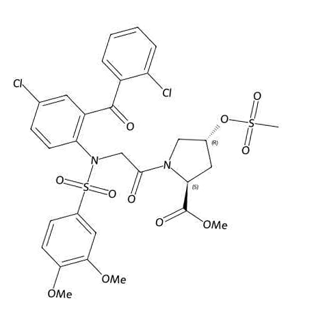 COC(=O)[C@@H]1C[C@@H](OS(C)(=O)=O)CN1C(=O)CN(c1ccc(Cl)cc1C(=O)c1ccccc1Cl)S(=O)(=O)c1ccc(OC)c(OC)c1